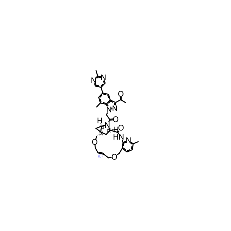 CC(=O)c1nn(CC(=O)N2[C@H]3C[C@@]4(COC/C=C/COCc5ccc(C)nc5NC3=O)C[C@@H]24)c2c(C)cc(-c3cnc(C)nc3)cc12